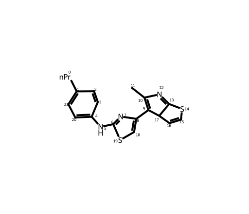 CCCc1ccc(Nc2nc(C3=C(C)N=C4SC=CC43)cs2)cc1